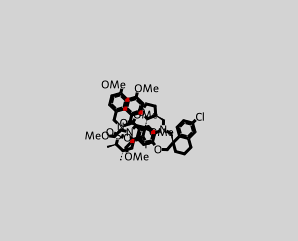 COCCN(CCOC)CC(OC)(/C(F)=C/C[C@H](C)[C@@H](C)S(=O)(=O)N(Cc1ccc(OC)cc1)Cc1ccc(OC)cc1)[C@@H]1OCC[C@H]1CN1C[C@@]2(CCCc3cc(Cl)ccc32)COc2ccc(C(=O)OC)cc21